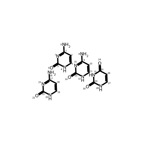 Nc1cc[nH]c(=O)n1.Nc1cc[nH]c(=O)n1.Nc1cc[nH]c(=O)n1.O=c1cc[nH]c(=O)[nH]1